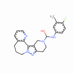 OC(Nc1ccc(F)c(C(F)(F)F)c1)N1CCc2nn3c(c2C1)-c1ncccc1CCC3